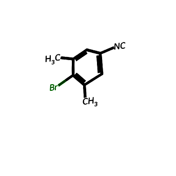 [C-]#[N+]c1cc(C)c(Br)c(C)c1